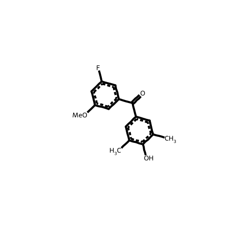 COc1cc(F)cc(C(=O)c2cc(C)c(O)c(C)c2)c1